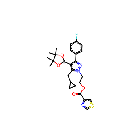 CC1(C)OB(c2c(-c3ccc(F)cc3)nn(CCOC(=O)c3cscn3)c2CC2CC2)OC1(C)C